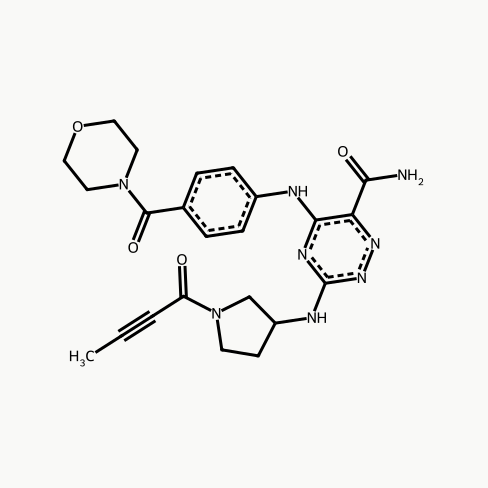 CC#CC(=O)N1CCC(Nc2nnc(C(N)=O)c(Nc3ccc(C(=O)N4CCOCC4)cc3)n2)C1